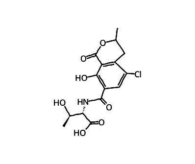 CC1Cc2c(Cl)cc(C(=O)N[C@H](C(=O)O)[C@@H](C)O)c(O)c2C(=O)O1